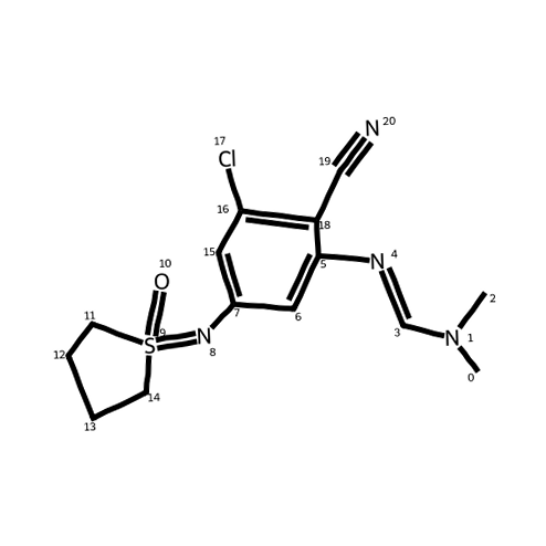 CN(C)C=Nc1cc(N=S2(=O)CCCC2)cc(Cl)c1C#N